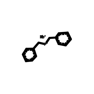 [Rb+].c1ccc(C[P-]Cc2ccccc2)cc1